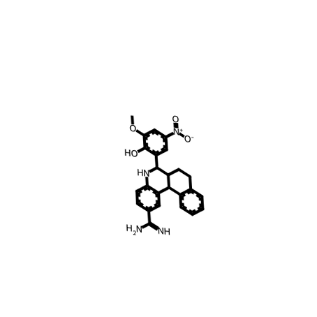 COc1cc([N+](=O)[O-])cc(C2Nc3ccc(C(=N)N)cc3C3c4ccccc4CCC23)c1O